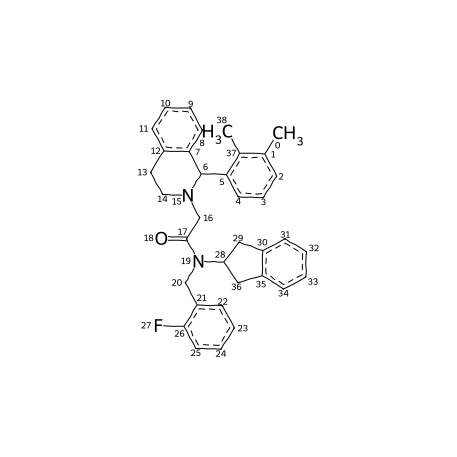 Cc1cccc(C2c3ccccc3CCN2CC(=O)N(Cc2ccccc2F)C2Cc3ccccc3C2)c1C